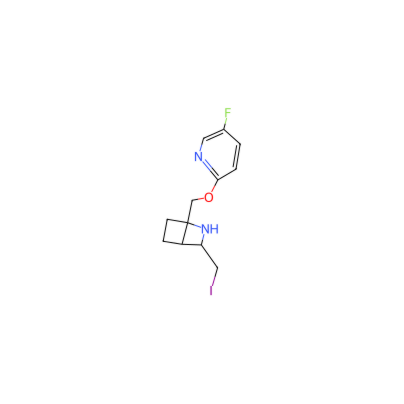 Fc1ccc(OCC23CCC2C(CI)N3)nc1